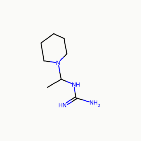 CC(NC(=N)N)N1CCCCC1